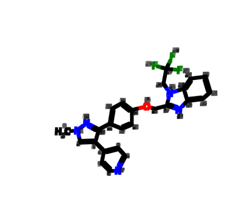 Cn1cc(-c2ccncc2)c(-c2ccc(OCc3nc4ccccc4n3CC(F)(F)F)cc2)n1